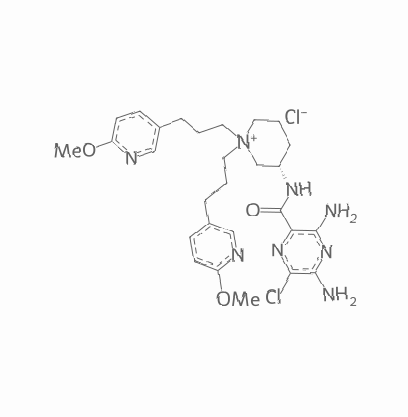 COc1ccc(CCC[N+]2(CCCc3ccc(OC)nc3)CCC[C@H](NC(=O)c3nc(Cl)c(N)nc3N)C2)cn1.[Cl-]